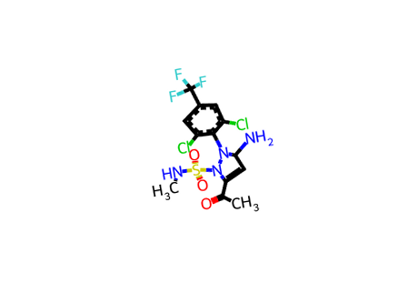 CNS(=O)(=O)N1C(C(C)=O)=CC(N)N1c1c(Cl)cc(C(F)(F)F)cc1Cl